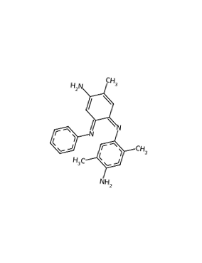 CC1=CC(=N/c2cc(C)c(N)cc2C)/C(=N/c2ccccc2)C=C1N